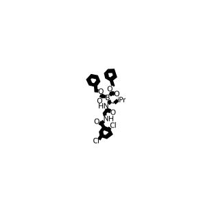 CC(C)C[C@H](NC(=O)CNC(=O)c1cc(Cl)ccc1Cl)B(C(=O)OCc1ccccc1)C(=O)OCc1ccccc1